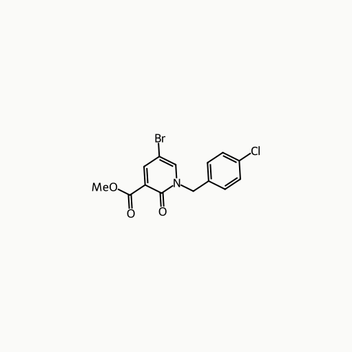 COC(=O)c1cc(Br)cn(Cc2ccc(Cl)cc2)c1=O